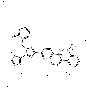 CN(C)c1ccccc1C(=O)Nc1cnc(-c2cc(-c3ncco3)n(Cc3ccccc3F)n2)nc1N